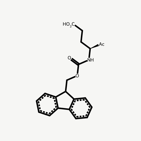 CC(=O)[C@H](CCC(=O)O)NC(=O)OCC1c2ccccc2-c2ccccc21